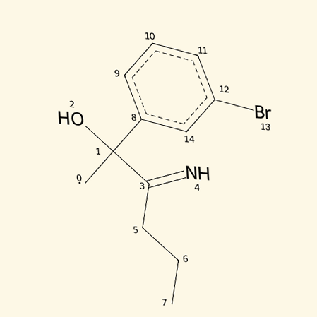 [CH2]C(O)(C(=N)CCC)c1cccc(Br)c1